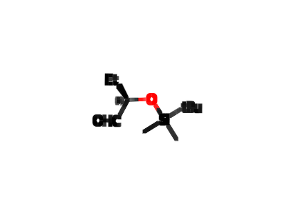 CC[C@H](C=O)O[Si](C)(C)C(C)(C)C